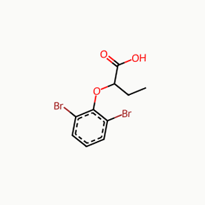 CCC(Oc1c(Br)cccc1Br)C(=O)O